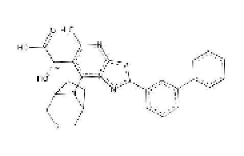 Cc1nc2cc(-c3cccc(-c4ccccc4)c3)nn2c(N2C3CCC2COC3)c1[C@H](O)C(=O)O